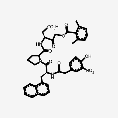 Cc1cccc(C)c1C(=O)OCC(=O)[C@H](CC(=O)O)NC(=O)C1CCCN1C(=O)[C@H](Cc1cccc2ccccc12)NC(=O)Cc1ccc(O)c([N+](=O)[O-])c1